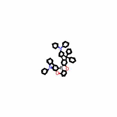 c1ccc(N(c2ccccc2)c2ccc3c(c2)C(c2ccccc2)(c2ccccc2)c2cc4c(cc2-3)B2c3cc5c6ccccc6n(-c6ccccc6)c5cc3Oc3cccc(c32)O4)cc1